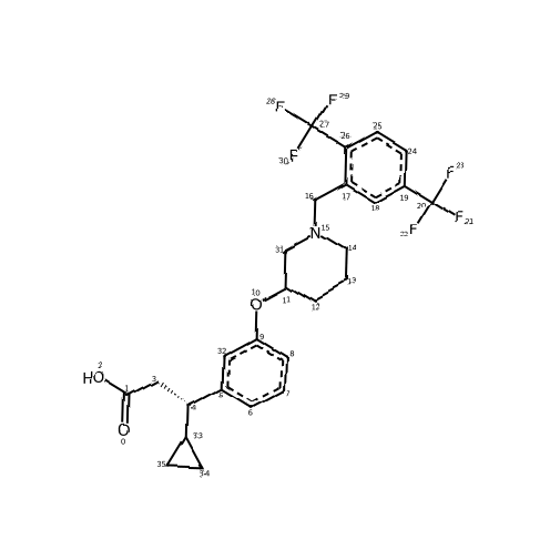 O=C(O)C[C@H](c1cccc(OC2CCCN(Cc3cc(C(F)(F)F)ccc3C(F)(F)F)C2)c1)C1CC1